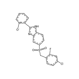 O=S(=O)(Cc1ccc(Cl)cc1F)c1ccc2[nH]c(-c3cccc[n+]3[O-])nc2c1